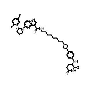 O=C1CCC(Nc2ccc(C3CN(CCCCCCCCNC(=O)c4cnn5ccc(N6CCC[C@@H]6c6cc(F)ccc6F)nc45)C3)cc2)C(=O)N1